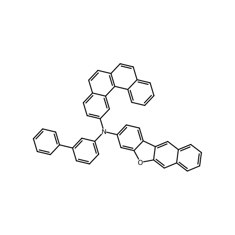 c1ccc(-c2cccc(N(c3ccc4c(c3)oc3cc5ccccc5cc34)c3ccc4ccc5ccc6ccccc6c5c4c3)c2)cc1